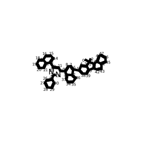 CC1(C)c2cc(-c3ccc(-c4cc(-c5cccc6ccccc56)nc(-c5ccccc5)n4)c4ccccc34)ccc2-c2ccc3ccccc3c21